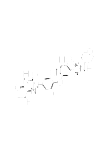 O=c1[nH]c(=O)n(-c2cc(Cl)c(Oc3cc(S(=O)(=O)NC4CCOCC4)c(O)cn3)c(Cl)c2)nc1C(F)F